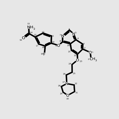 COc1cc2ncnc(Oc3ccc(C(N)=O)cc3F)c2cc1OCCCN1CCOCC1